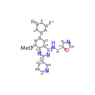 COc1cc(-c2cc(F)cc(F)c2)cc2c(NCc3cnco3)nc(-c3cccnc3)nc12